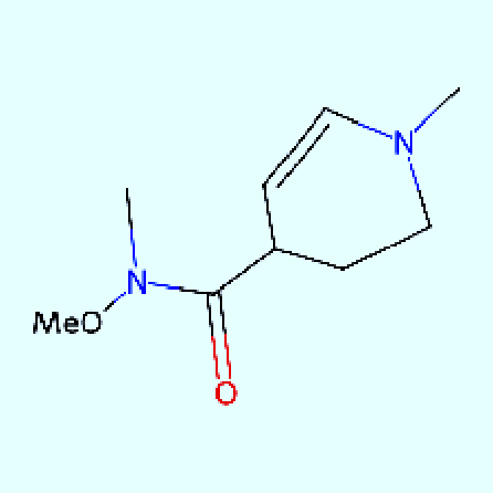 CON(C)C(=O)C1C=CN(C)CC1